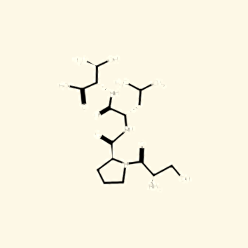 CC(C)C[C@H](NC(=O)[C@@H]1CCCN1C(=O)[C@@H](N)CO)C(=O)N[C@H](C(=O)O)[C@@H](C)O